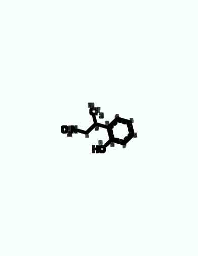 O=[N+]([O-])CC(c1ccccc1O)C(F)(F)F